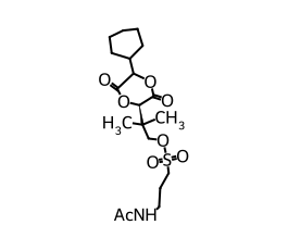 CC(=O)NCCCS(=O)(=O)OCC(C)(C)[C@H]1OC(=O)C(C2CCCCC2)OC1=O